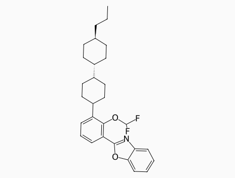 CCC[C@H]1CC[C@H](C2CCC(c3cccc(-c4nc5ccccc5o4)c3OC(F)F)CC2)CC1